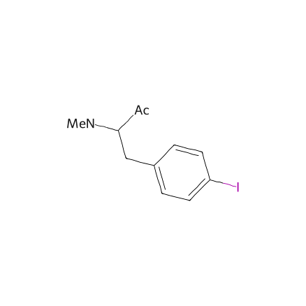 CNC(Cc1ccc(I)cc1)C(C)=O